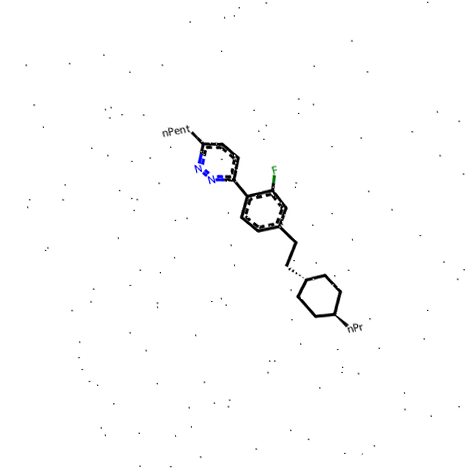 CCCCCc1ccc(-c2ccc(CC[C@H]3CC[C@H](CCC)CC3)cc2F)nn1